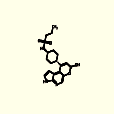 CCCS(=O)(=O)N[C@H]1CC[C@H](C2=CB(O)Oc3cnc4[nH]ccc4c32)CC1